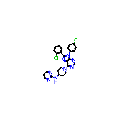 Clc1ccc(-n2c(-c3ccccc3Cl)nc3c(N4CCC(Nc5ncccn5)CC4)ncnc32)cc1